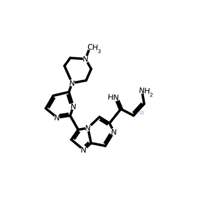 CN1CCN(c2ccnc(-c3cnc4cnc(C(=N)/C=C\N)cn34)n2)CC1